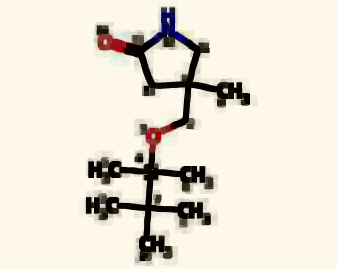 CC1(CO[Si](C)(C)C(C)(C)C)CNC(=O)C1